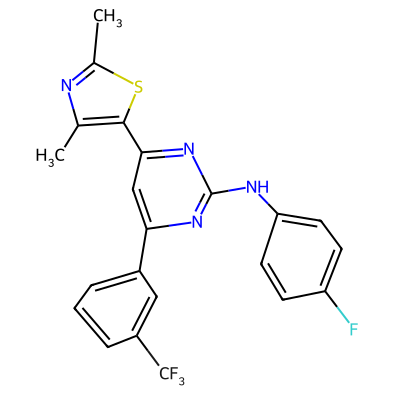 Cc1nc(C)c(-c2cc(-c3cccc(C(F)(F)F)c3)nc(Nc3ccc(F)cc3)n2)s1